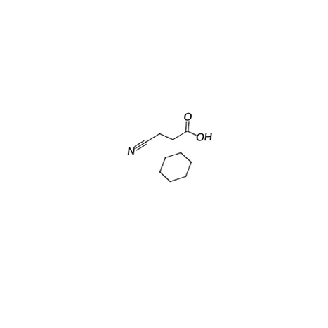 C1CCCCC1.N#CCCC(=O)O